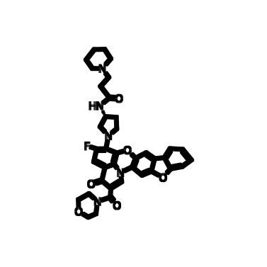 O=C(CCN1CCCCC1)N[C@@H]1CCN(c2c(F)cc3c(=O)c(C(=O)N4CCOCC4)cn4c3c2Oc2cc3c(cc2-4)oc2ccccc23)C1